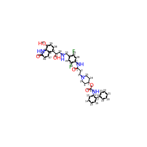 O=C(CCN1CCC(OC(=O)Nc2ccccc2-c2ccccc2)CC1)Nc1cc(F)c(CNC[C@@H](O)c2ccc(O)c3[nH]c(=O)ccc23)cc1F